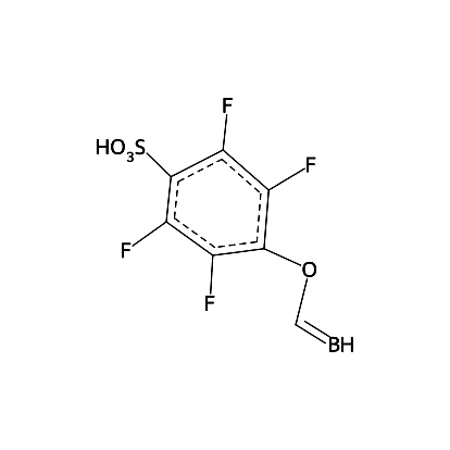 B=COc1c(F)c(F)c(S(=O)(=O)O)c(F)c1F